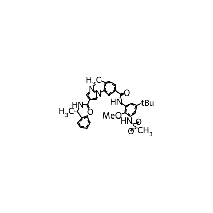 COc1c(NC(=O)c2ccc(C)c(-n3cc(C(=O)N[C@@H](C)c4ccccc4)cn3)c2)cc(C(C)(C)C)cc1NS(C)(=O)=O